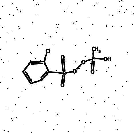 CP(=O)(O)OOS(=O)(=O)c1ccccc1Cl